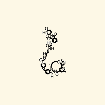 Cc1cc2cc(n1)-c1cnn(C)c1OCCC[C@@H](C)CN1/C(=N/C2=O)Nc2ccc(CN3CCN(C(=O)CNCCCCNC(=O)CNc4cccc5c4C(=O)N(C4CCC(=O)NC4=O)C5=O)CC3)cc21